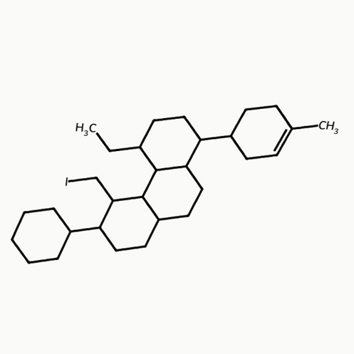 CCC1CCC(C2CC=C(C)CC2)C2CCC3CCC(C4CCCCC4)C(CI)C3C12